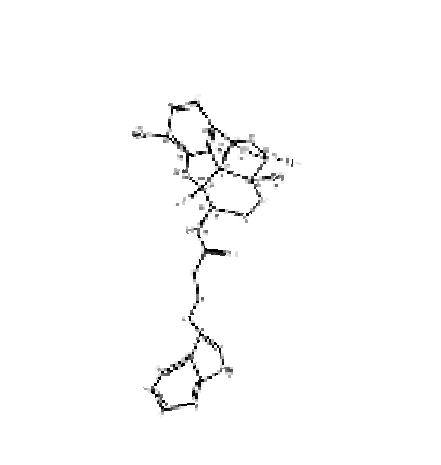 O=C(CCCc1c[nH]c2ccccc12)N[C@@H]1CC[C@@]2(O)[C@@H]3CCC[C@@]24c2c(ccc(O)c2O[C@@H]14)C3